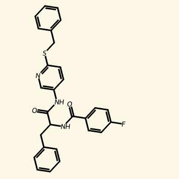 O=C(NC(Cc1ccccc1)C(=O)Nc1ccc(SCc2ccccc2)nc1)c1ccc(F)cc1